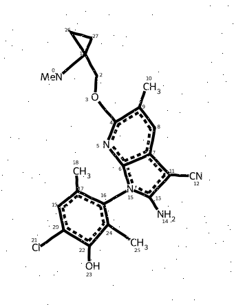 CNC1(COc2nc3c(cc2C)c(C#N)c(N)n3-c2c(C)cc(Cl)c(O)c2C)CC1